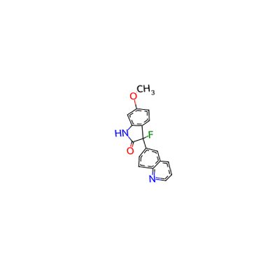 COc1ccc2c(c1)NC(=O)C2(F)c1ccc2ncccc2c1